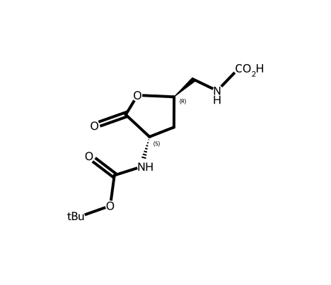 CC(C)(C)OC(=O)N[C@H]1C[C@H](CNC(=O)O)OC1=O